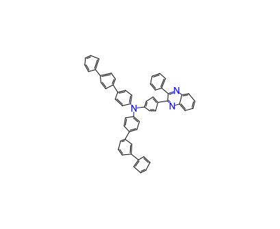 c1ccc(-c2ccc(-c3ccc(N(c4ccc(-c5cccc(-c6ccccc6)c5)cc4)c4ccc(-c5nc6ccccc6nc5-c5ccccc5)cc4)cc3)cc2)cc1